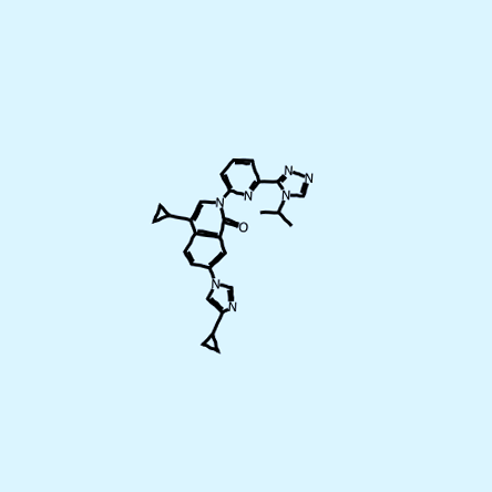 CC(C)n1cnnc1-c1cccc(-n2cc(C3CC3)c3ccc(-n4cnc(C5CC5)c4)cc3c2=O)n1